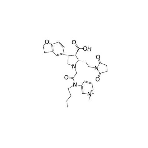 CCCCN(C(=O)CN1C[C@H](c2ccc3c(c2)CCO3)[C@@H](C(=O)O)[C@@H]1CCN1C(=O)CCC1=O)c1ccc[n+](C)c1